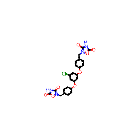 O=c1[nH]c(=O)n(Cc2ccc(Oc3cc(Cl)cc(Oc4ccc(Cn5oc(=O)[nH]c5=O)cc4)c3)cc2)o1